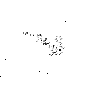 NCCCC[C@H](N)C(=O)NCC(=O)NCC(=O)N[C@@H](CC(N)=O)C(=O)N[C@@H](Cc1ccccc1)C(=O)NCC(=O)O